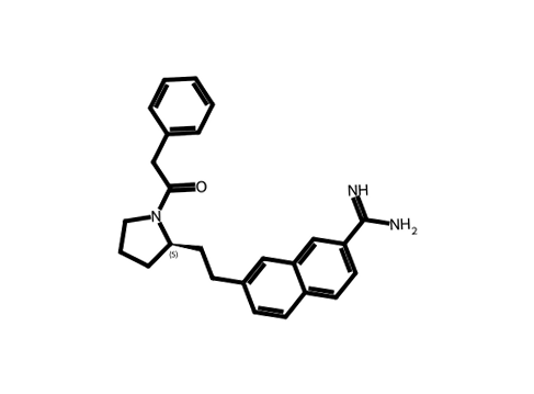 N=C(N)c1ccc2ccc(CC[C@H]3CCCN3C(=O)Cc3ccccc3)cc2c1